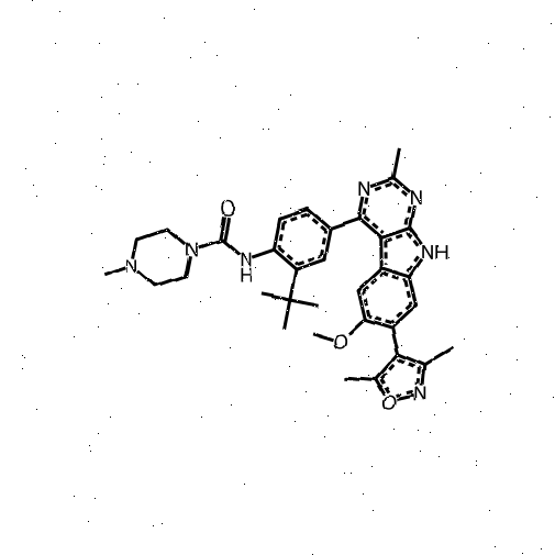 COc1cc2c(cc1-c1c(C)noc1C)[nH]c1nc(C)nc(-c3ccc(NC(=O)N4CCN(C)CC4)c(C(C)(C)C)c3)c12